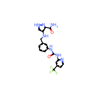 NC(=O)c1n[nH]cc1NCc1cccc(NC(=O)Nc2cc(C(F)(F)F)ccn2)c1